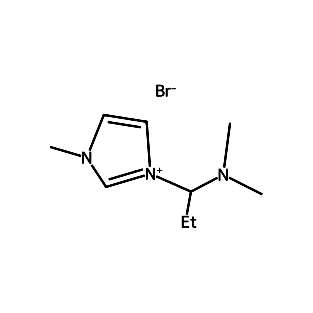 CCC(N(C)C)[n+]1ccn(C)c1.[Br-]